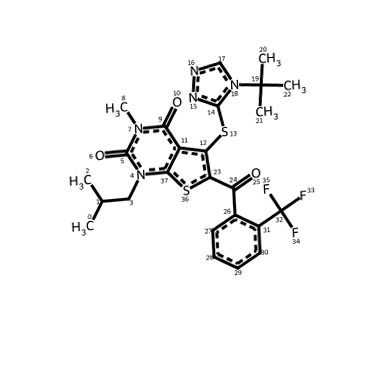 CC(C)Cn1c(=O)n(C)c(=O)c2c(Sc3nncn3C(C)(C)C)c(C(=O)c3ccccc3C(F)(F)F)sc21